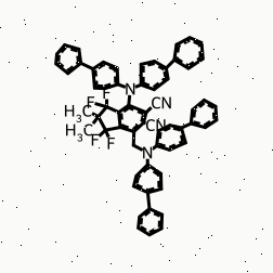 CC1(C)C(F)(F)c2c(CN(c3ccc(-c4ccccc4)cc3)c3ccc(-c4ccccc4)cc3)c(C#N)c(C#N)c(N(c3ccc(-c4ccccc4)cc3)c3ccc(-c4ccccc4)cc3)c2C1(F)F